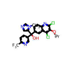 CC(C)Oc1c(Cl)nc2ccc(C(O)(c3ccc(C(F)(F)F)nc3)c3cncn3C)cc2c1Cl